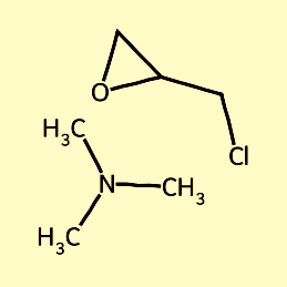 CN(C)C.ClCC1CO1